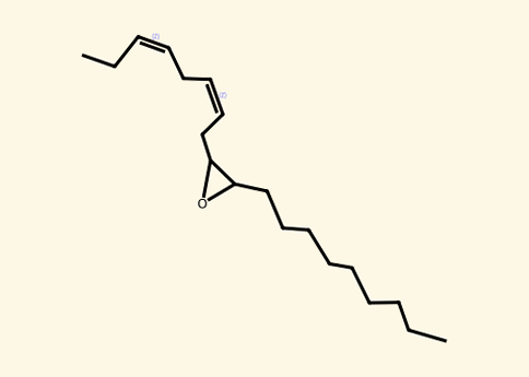 CC/C=C\C/C=C\CC1OC1CCCCCCCCC